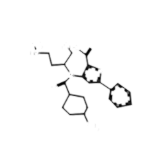 CCC(CCNC)N(C(=O)C1CCC(C)CC1)c1cc(-c2ccccc2)sc1C(=O)O